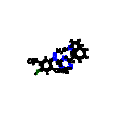 COc1cc(F)c([N+](=O)[O-])cc1Nc1ncnc(-c2cccc3ccn(C)c23)n1